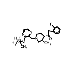 C[C@H]1CN(Cc2nccnc2OC(C)(C)C)CC[C@@H]1C(=O)Cc1ccccc1F